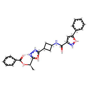 C[C@@H](OC(=O)c1ccccc1)c1nnc(C2CC(NC(=O)c3cc(-c4ccccc4)on3)C2)o1